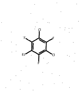 CCc1c(F)c(Cl)c(F)c(Cl)c1F